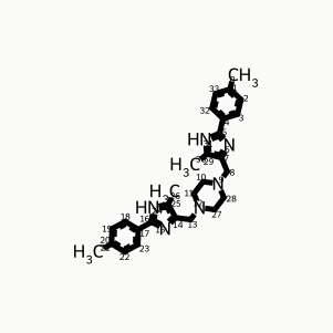 Cc1ccc(-c2nc(CN3CCN(Cc4nc(-c5ccc(C)cc5)[nH]c4C)CC3)c(C)[nH]2)cc1